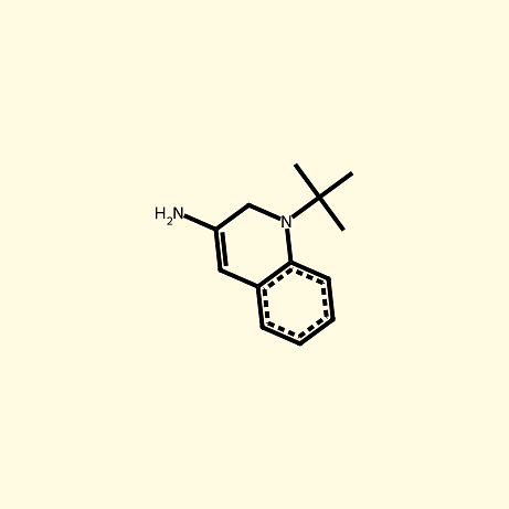 CC(C)(C)N1CC(N)=Cc2ccccc21